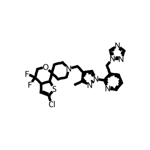 Cc1nn(-c2ncccc2Cn2cncn2)cc1CN1CCC2(CC1)OCC(F)(F)C1C=C(Cl)SC12